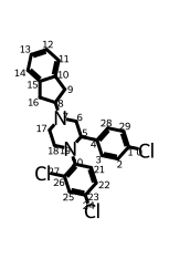 Clc1ccc(C2CN(C3Cc4ccccc4C3)CCN2c2ccc(Cl)cc2Cl)cc1